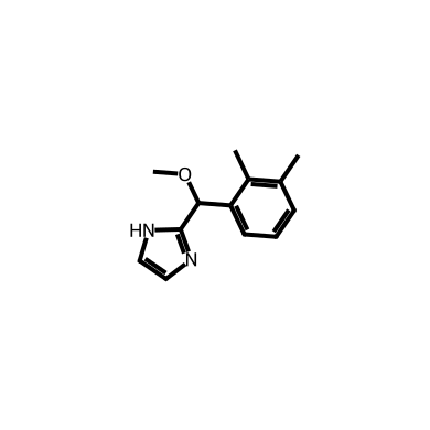 COC(c1ncc[nH]1)c1cccc(C)c1C